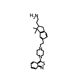 CC1(C)c2cc(CCN3CCN(c4snc5ccccc45)CC3)ccc2CC1CCN